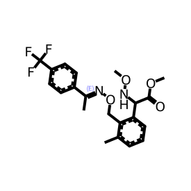 CONC(C(=O)OC)c1cccc(C)c1CO/N=C(\C)c1ccc(C(F)(F)F)cc1